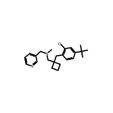 CN(Cc1cccnc1)CC1(Cc2ccc(C(C)(C)C)cc2Cl)CCC1